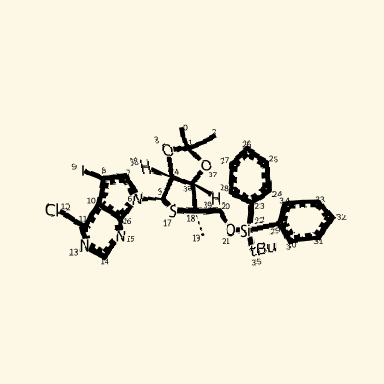 CC1(C)O[C@H]2[C@H](n3cc(I)c4c(Cl)ncnc43)S[C@](C)(CO[Si](c3ccccc3)(c3ccccc3)C(C)(C)C)[C@H]2O1